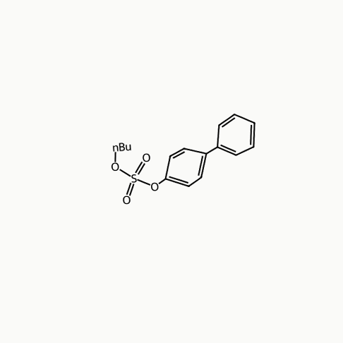 CCCCOS(=O)(=O)Oc1ccc(-c2ccccc2)cc1